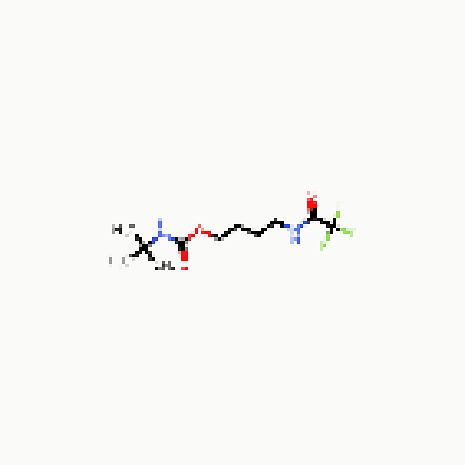 CC(C)(C)NC(=O)OCCCCNC(=O)C(F)(F)F